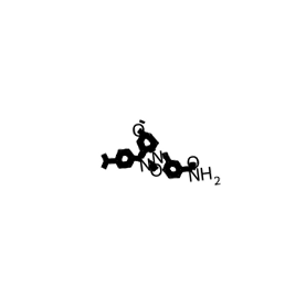 COc1ccc2c(c1)c(-c1ccc(C(C)C)cc1)nc(=O)n2Cc1cccc(C(N)=O)c1